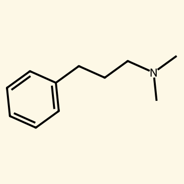 CN(C)CCCc1ccccc1